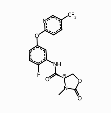 CN1C(=O)OC[C@@H]1C(=O)Nc1cc(Oc2ccc(C(F)(F)F)cn2)ccc1F